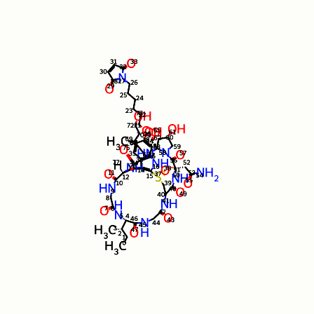 CC[C@H](C)[C@@H]1NC(=O)CNC(=O)[C@@H]2Cc3c([nH]c4cc(OCCCCCCN5C(=O)C=CC5=O)ccc34)[S+]([O-])CC(NC(=O)CNC1=O)C(=O)N[C@@H](CC(N)=O)C(=O)N1C[C@H](O)C[C@]1(C=O)N[C@@H]([C@@H](C)[C@@H](O)CO)C(=O)N2